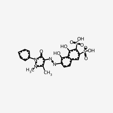 Cc1c(N=Nc2ccc3cc(S(=O)(=O)O)c(S(=O)(=O)O)c(O)c3c2O)c(=O)n(-c2ccccc2)n1C